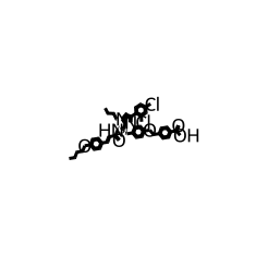 CCCCOc1ccc(C=CC(=O)N[C@@H](Cc2ccc(OCc3ccc(C(=O)O)cc3)cc2)c2nc(-c3ccc(Cl)cc3Cl)cn2CCCC)cc1